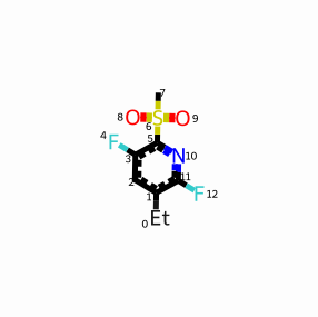 CCc1cc(F)c(S(C)(=O)=O)nc1F